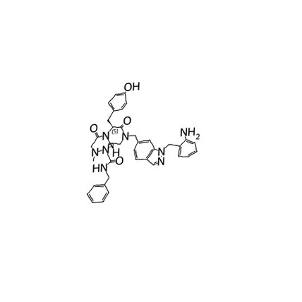 CN1CC(=O)N2[C@@H](Cc3ccc(O)cc3)C(=O)N(Cc3ccc4cnn(Cc5ccccc5N)c4c3)C[C@@H]2N1C(=O)NCc1ccccc1